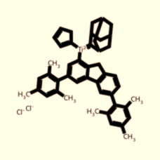 Cc1cc(C)c(-c2ccc3c(c2)-c2cc(-c4c(C)cc(C)cc4C)c[c]([Ti+2]([C]4=CC=CC4)=[C]4C5CC6CC(C5)CC4C6)c2C3)c(C)c1.[Cl-].[Cl-]